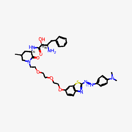 CC1C[C@H](NC(=O)[C@@H](O)[C@H](N)Cc2ccccc2)C(=O)N(CCOCCOCCOc2ccc3nc(/N=N/c4ccc(N(C)C)cc4)sc3c2)C1